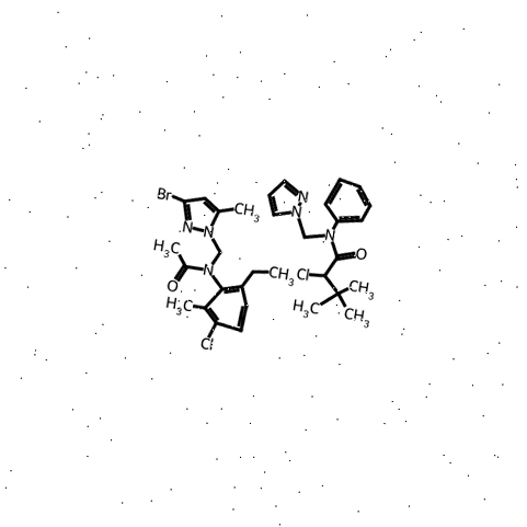 CC(C)(C)C(Cl)C(=O)N(Cn1cccn1)c1ccccc1.CCc1ccc(Cl)c(C)c1N(Cn1nc(Br)cc1C)C(C)=O